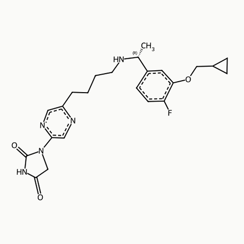 C[C@@H](NCCCCc1cnc(N2CC(=O)NC2=O)cn1)c1ccc(F)c(OCC2CC2)c1